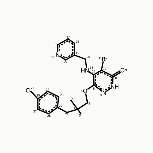 CC(C)(COc1n[nH]c(=O)c(Br)c1NCc1cccnc1)Cc1ccc(Cl)cc1